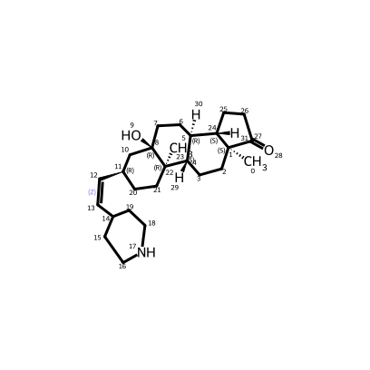 C[C@]12CC[C@H]3[C@@H](CC[C@@]4(O)C[C@H](/C=C\C5CCNCC5)CC[C@]34C)[C@@H]1CCC2=O